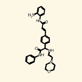 Nc1ccccc1NC(=O)C=Cc1ccc(C(NCCN2CCOCC2)C(=O)Nc2ccccc2)cc1